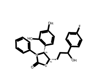 O=C1S[C@@H](CCC(O)c2ccc(F)cc2)[C@@H](c2ccc(O)cc2O)N1c1ccccc1